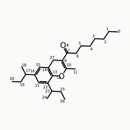 CCCCCCCC(=O)C1=C(C)Oc2c(cc(C(C)CC)cc2C(C)CC)C1